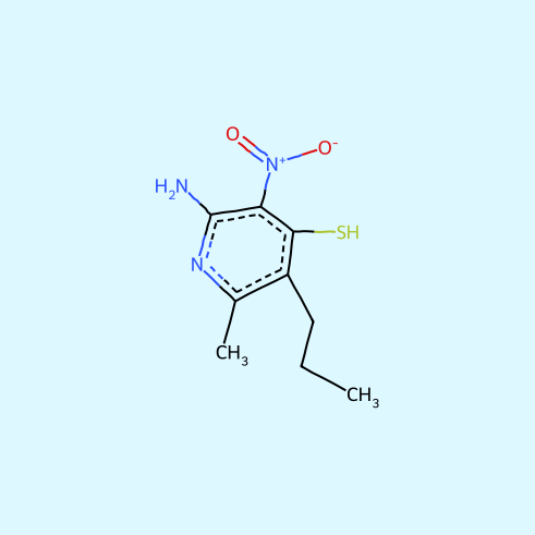 CCCc1c(C)nc(N)c([N+](=O)[O-])c1S